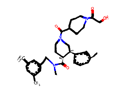 Cc1cccc([C@@H]2CN(C(=O)C3CCN(C(=O)CO)CC3)CC[C@H]2C(=O)N(C)Cc2cc(C(F)(F)F)cc(C(F)(F)F)c2)c1